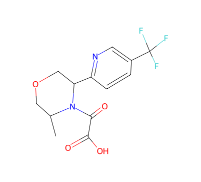 CC1COCC(c2ccc(C(F)(F)F)cn2)N1C(=O)C(=O)O